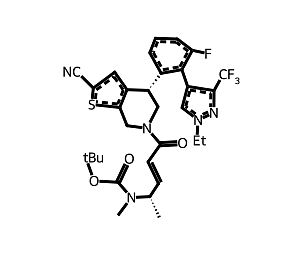 CCn1cc(-c2c(F)cccc2[C@@H]2CN(C(=O)/C=C/[C@H](C)N(C)C(=O)OC(C)(C)C)Cc3sc(C#N)cc32)c(C(F)(F)F)n1